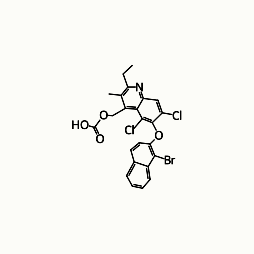 CCc1nc2cc(Cl)c(Oc3ccc4ccccc4c3Br)c(Cl)c2c(COC(=O)O)c1C